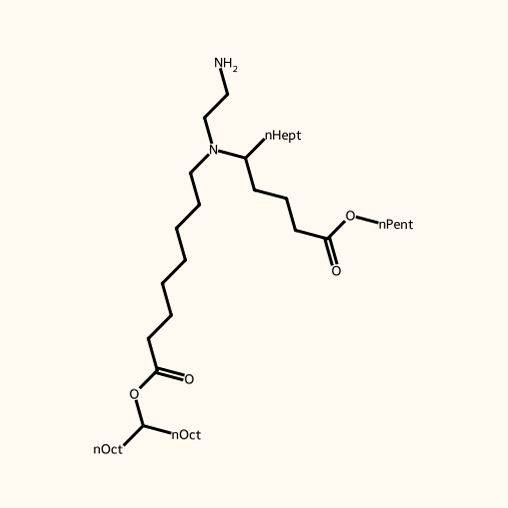 CCCCCCCCC(CCCCCCCC)OC(=O)CCCCCCCN(CCN)C(CCCCCCC)CCCC(=O)OCCCCC